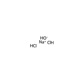 Cl.Cl.[Na+].[OH-]